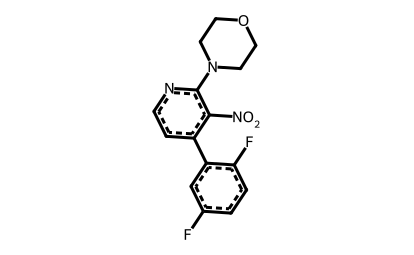 O=[N+]([O-])c1c(-c2cc(F)ccc2F)ccnc1N1CCOCC1